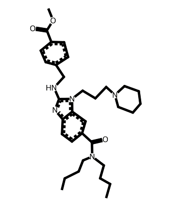 CCCCN(CCCC)C(=O)c1ccc2nc(NCc3ccc(C(=O)OC)cc3)n(CCCN3CCCCC3)c2c1